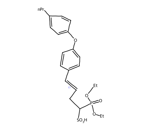 CCCc1ccc(Oc2ccc(/C=C/CC(P(=O)(OCC)OCC)S(=O)(=O)O)cc2)cc1